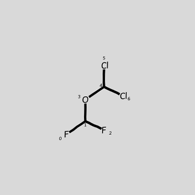 FC(F)OC(Cl)Cl